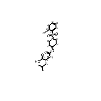 CC(C)C[C@H](NC(=O)OC1CCN(S(=O)(=O)c2ccccc2F)CC1)C(=O)O